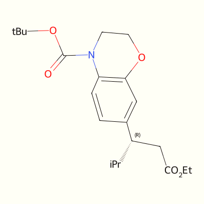 CCOC(=O)C[C@@H](c1ccc2c(c1)OCCN2C(=O)OC(C)(C)C)C(C)C